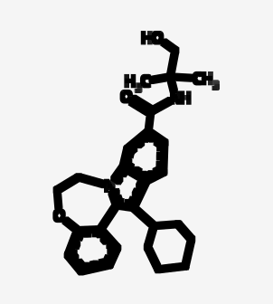 CC(C)(CO)NC(=O)c1ccc2c(C3CCCCC3)c3n(c2c1)CCOc1ccccc1-3